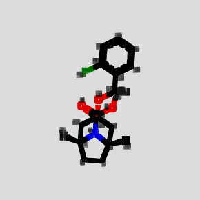 CC(C)(C)OC(=O)N1[C@@H]2CC[C@H]1C[C@@H](OCc1ccccc1F)C2